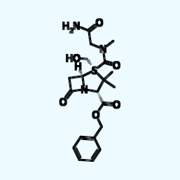 CN(CC(N)=O)C(=O)[S@]1(CO)[C@@H]2CC(=O)N2[C@@H](C(=O)OCc2ccccc2)C1(C)C